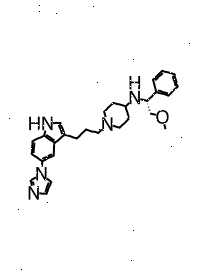 COC[C@H](NC1CCN(CCCc2c[nH]c3ccc(-n4ccnc4)cc23)CC1)c1ccccc1